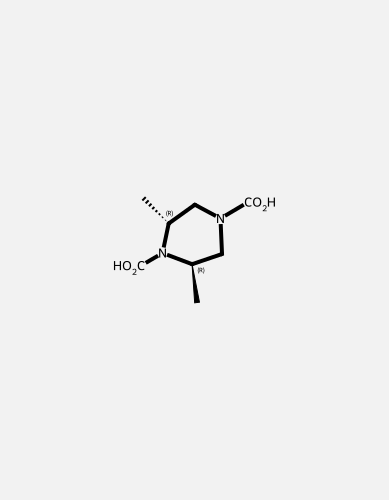 C[C@@H]1CN(C(=O)O)C[C@@H](C)N1C(=O)O